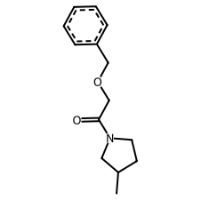 CC1CCN(C(=O)COCc2ccccc2)C1